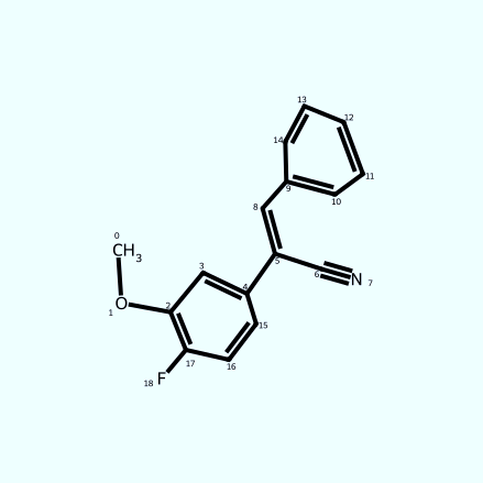 COc1cc(/C(C#N)=C/c2ccccc2)ccc1F